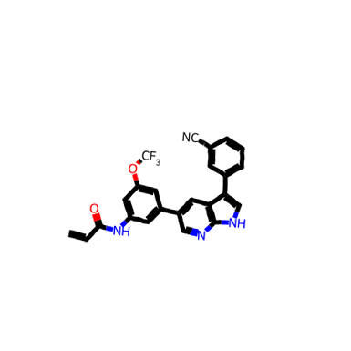 C=CC(=O)Nc1cc(OC(F)(F)F)cc(-c2cnc3[nH]cc(-c4cccc(C#N)c4)c3c2)c1